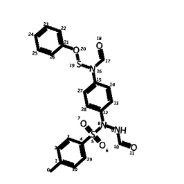 Cc1ccc(S(=O)(=O)N(NC=O)c2ccc(N(C=O)SOc3ccccc3)cc2)cc1